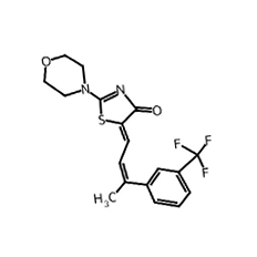 CC(=CC=C1SC(N2CCOCC2)=NC1=O)c1cccc(C(F)(F)F)c1